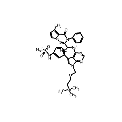 Cc1ccn2nc(C(C)Nc3ncnc4c3c(-c3cccc(NS(C)(=O)=O)c3)cn4COCC[Si](C)(C)C)n(-c3ccccc3)c(=O)c12